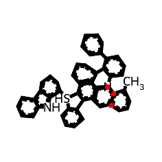 Cc1ccccc1N(c1ccc2c(c1)-c1ccccc1[SH]2c1cccc2c1[nH]c1ccccc12)c1cccc(-c2ccccc2)c1-c1ccccc1-c1ccccc1